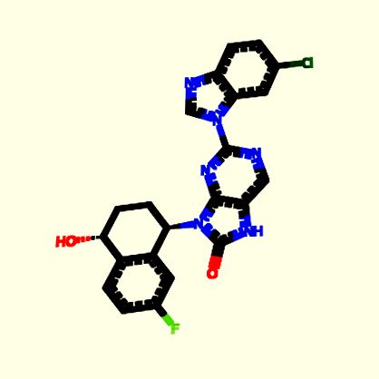 O=c1[nH]c2cnc(-n3cnc4ccc(Cl)cc43)nc2n1[C@@H]1CC[C@@H](O)c2ccc(F)cc21